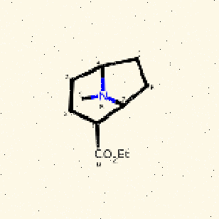 CCOC(=O)C1CCC2CCC1N2C